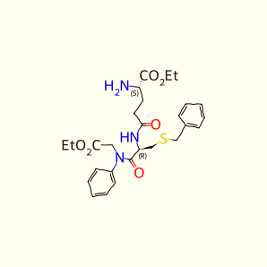 CCOC(=O)CN(C(=O)[C@H](CSCc1ccccc1)NC(=O)CC[C@H](N)C(=O)OCC)c1ccccc1